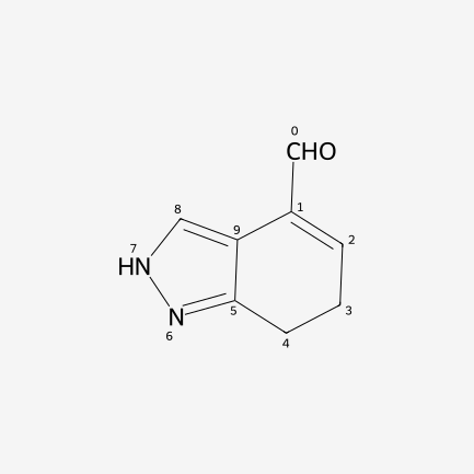 O=CC1=CCCc2n[nH]cc21